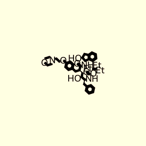 CCC(CC)(CC)OC(=O)N[C@@H](Cc1ccccc1)[C@@H](O)C[C@@H](Cc1ccc(OCCN2CCOCC2)cc1)C(=O)N[C@H]1c2ccccc2C[C@H]1O